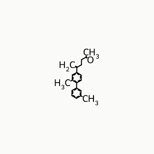 C=C(CCC(C)=O)c1ccc(-c2cccc(C)c2)c(C)c1